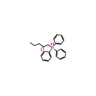 CCCC(=O)C[PH](c1ccccc1)(c1ccccc1)c1ccccc1